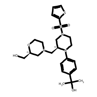 CC(C)(O)c1ccc(N2CCN(S(=O)(=O)c3cccs3)C[C@@H]2CN2CCO[C@H](CO)C2)cc1